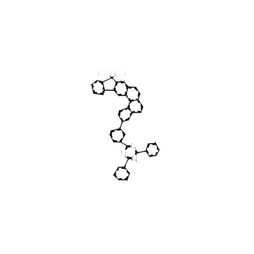 CC1(C)c2ccccc2-c2cc3c(ccc4ccc5cc(-c6cccc(-c7nc(-c8ccccc8)nc(-c8ccccc8)n7)c6)ccc5c43)cc21